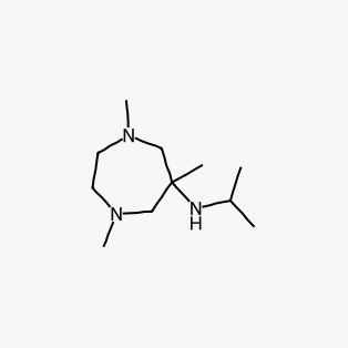 CC(C)NC1(C)CN(C)CCN(C)C1